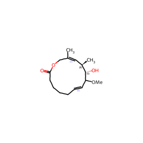 COC1/C=C/CCCCC(=O)OC/C(C)=C\[C@@H](C)[C@@H]1O